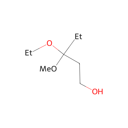 CCOC(CC)(CCO)OC